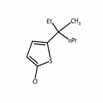 CCCC(C)(CC)c1ccc(Cl)s1